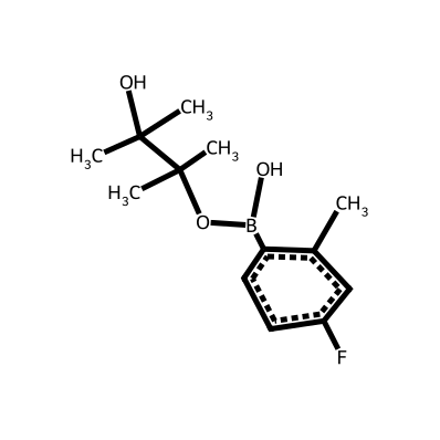 Cc1cc(F)ccc1B(O)OC(C)(C)C(C)(C)O